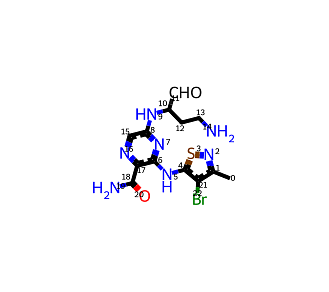 Cc1nsc(Nc2nc(NC(C=O)CCN)cnc2C(N)=O)c1Br